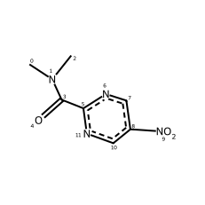 CN(C)C(=O)c1ncc([N+](=O)[O-])cn1